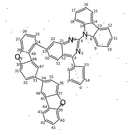 c1ccc(-c2nc(-n3c4ccccc4c4ccccc43)nc3cc(-c4cccc5oc6ccc(-c7ccc8oc9ccccc9c8c7)cc6c45)ccc23)cc1